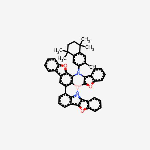 Cc1cc2c(cc1N1c3c(oc4ccccc34)B3c4c(cc5c(oc6ccccc65)c41)-c1cccc4c5oc6ccccc6c5n3c14)C(C)(C)CCC2(C)C